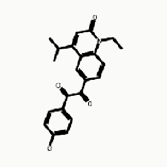 CCn1c(=O)cc(C(C)C)c2cc(C(=O)C(=O)c3ccc(Cl)cc3)ccc21